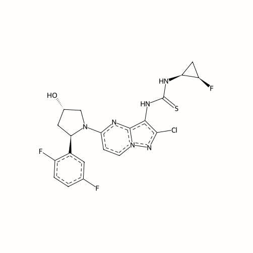 O[C@H]1C[C@H](c2cc(F)ccc2F)N(c2ccn3nc(Cl)c(NC(=S)N[C@H]4C[C@H]4F)c3n2)C1